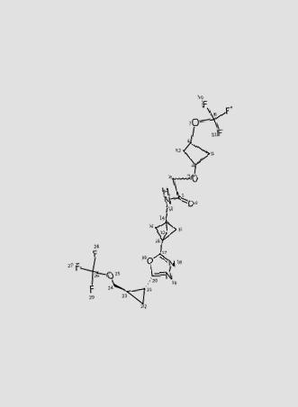 O=C(COC1CC(OC(F)(F)F)C1)NC12CC(c3nnc([C@@H]4C[C@H]4COC(F)(F)F)o3)(C1)C2